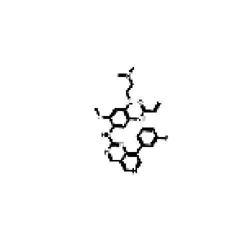 C=CC(=O)Nc1cc(Nc2ncc3cncc(-c4cccc(F)c4)c3n2)c(OC)cc1OCCN(C)C